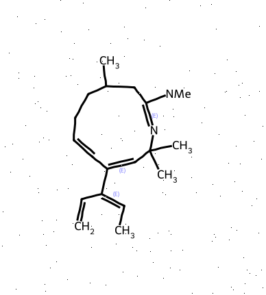 C=CC(=C\C)/C1=C/C(C)(C)/N=C(/NC)CC(C)CCC=C1